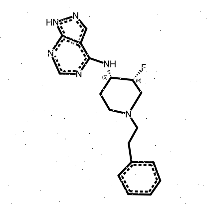 F[C@@H]1CN(CCc2ccccc2)CC[C@@H]1Nc1ncnc2[nH]ncc12